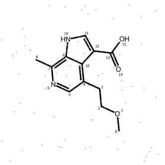 COCCc1cnc(C)c2[nH]cc(C(=O)O)c12